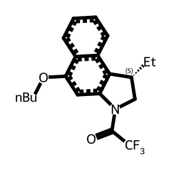 CCCCOc1cc2c(c3ccccc13)[C@H](CC)CN2C(=O)C(F)(F)F